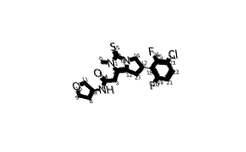 Cn1c(CC(=O)N[C@H]2CCOC2)c2n(c1=S)C[C@H](c1c(F)ccc(Cl)c1F)C2